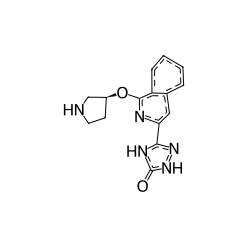 O=c1[nH]nc(-c2cc3ccccc3c(O[C@H]3CCNC3)n2)[nH]1